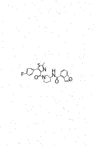 Cc1nc(C(=O)N2CCCC(NC(=O)c3cccc4occc34)C2)c(-c2ccc(F)cc2)s1